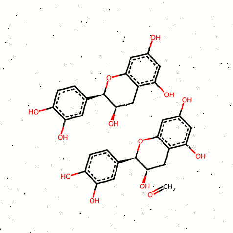 C=O.Oc1cc(O)c2c(c1)O[C@H](c1ccc(O)c(O)c1)[C@H](O)C2.Oc1cc(O)c2c(c1)O[C@H](c1ccc(O)c(O)c1)[C@H](O)C2